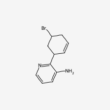 Nc1cccnc1C1C=CCC(Br)C1